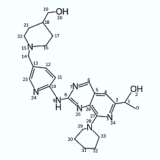 CC(O)c1cc2cnc(Nc3ccc(CN4CCC(CO)CC4)cn3)nc2c(N2CCCCC2)n1